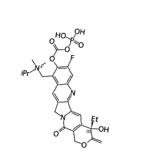 C=C1OCc2c(cc3n(c2=O)Cc2cc4c(C[N+](C)(C)C(C)C)c(OC(=O)OP(=O)(O)O)c(F)cc4nc2-3)[C@@]1(O)CC